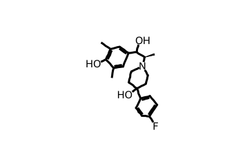 Cc1cc(C(O)[C@@H](C)N2CCC(O)(c3ccc(F)cc3)CC2)cc(C)c1O